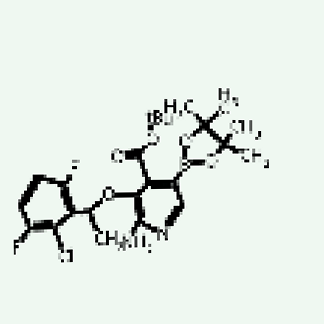 CC(Oc1c(N)ncc(B2OC(C)(C)C(C)(C)O2)c1C(=O)OC(C)(C)C)c1c(F)ccc(F)c1Cl